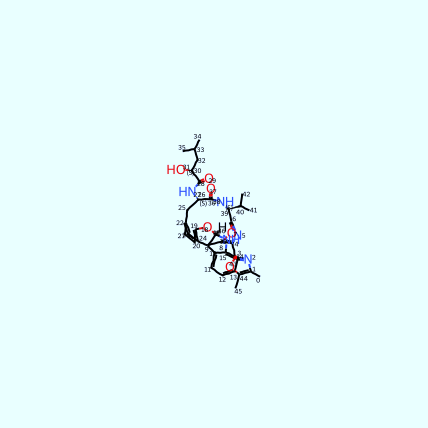 Cc1nc(-c2nc3oc2C24c5ccccc5N[C@H]2Oc2ccc(cc24)C[C@H](NC(=O)[C@@H](O)CC(C)C)C(=O)N[C@H]3C(C)C)oc1C